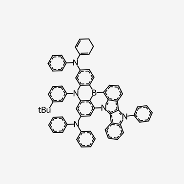 CC(C)(C)c1cccc(N2c3cc(N(C4=CCCC=C4)c4ccccc4)ccc3B3c4c2cc(N(c2ccccc2)c2ccccc2)cc4-n2c4c3cccc4c3c2c2ccccc2n3-c2ccccc2)c1